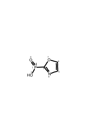 O=[PH](O)c1ncco1